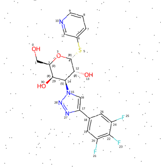 OC[C@H]1O[C@H](Sc2cccnc2)[C@H](O)[C@@H](n2cc(-c3cc(F)c(F)c(F)c3)nn2)[C@H]1O